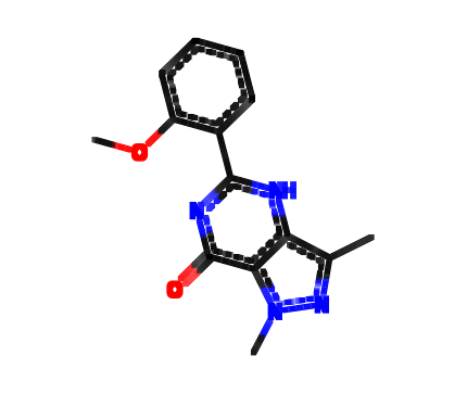 COc1ccccc1-c1nc(=O)c2c([nH]1)c(C)nn2C